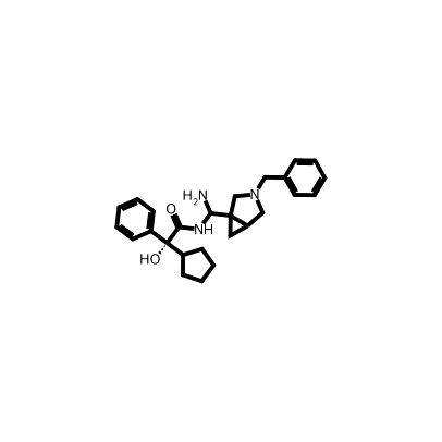 NC(NC(=O)[C@](O)(c1ccccc1)C1CCCC1)C12CC1CN(Cc1ccccc1)C2